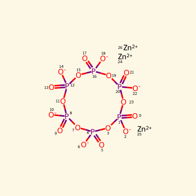 O=P1([O-])OP(=O)([O-])OP(=O)([O-])OP(=O)([O-])OP(=O)([O-])OP(=O)([O-])O1.[Zn+2].[Zn+2].[Zn+2]